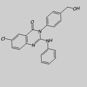 O=c1c2cc(Cl)ccc2nc(Nc2ccccc2)n1-c1ccc(CO)cc1